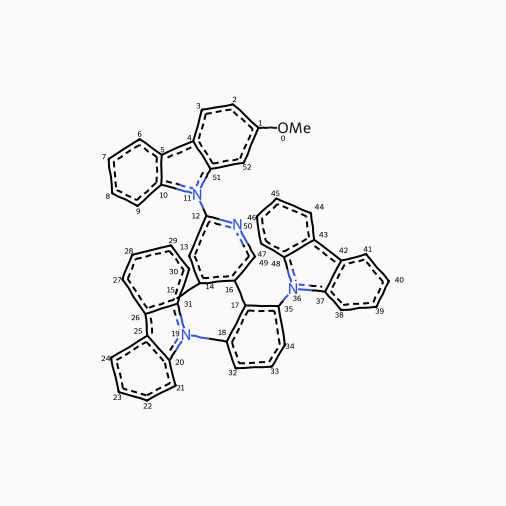 COc1ccc2c3ccccc3n(-c3cc(C)c(-c4c(-n5c6ccccc6c6ccccc65)cccc4-n4c5ccccc5c5ccccc54)cn3)c2c1